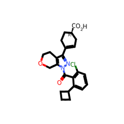 O=C(O)[C@H]1CC=C(c2nn(C(=O)c3c(Cl)cccc3C3CCC3)c3c2CCOC3)CC1